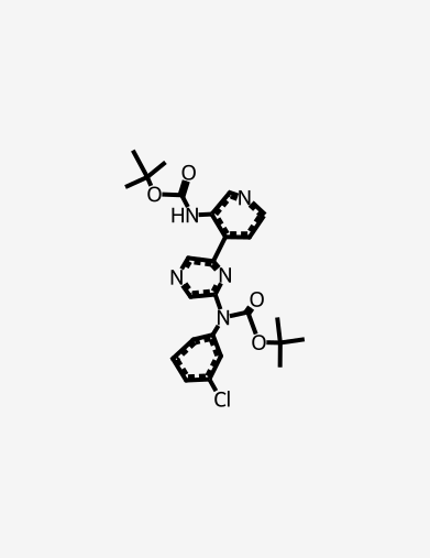 CC(C)(C)OC(=O)Nc1cnccc1-c1cncc(N(C(=O)OC(C)(C)C)c2cccc(Cl)c2)n1